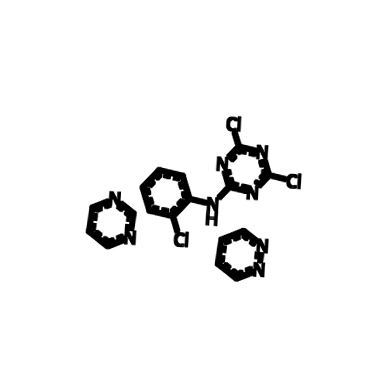 Clc1nc(Cl)nc(Nc2ccccc2Cl)n1.c1ccnnc1.c1cncnc1